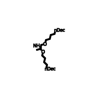 CCCCCCCCCCCCCCOCC(C)OCCCCCCCCCCCCCC.N